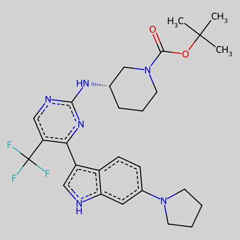 CC(C)(C)OC(=O)N1CCC[C@H](Nc2ncc(C(F)(F)F)c(-c3c[nH]c4cc(N5CCCC5)ccc34)n2)C1